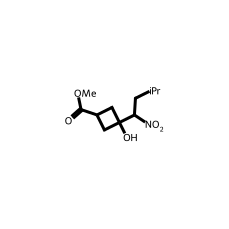 COC(=O)C1CC(O)(C(CC(C)C)[N+](=O)[O-])C1